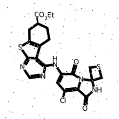 CCOC(=O)[C@H]1CCc2c(sc3ncnc(Nc4cc(Cl)c5n(c4=O)C4(CSC4)NC5=O)c23)C1